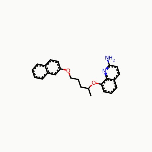 CC(CCCOc1ccc2ccccc2c1)Oc1cccc2ccc(N)nc12